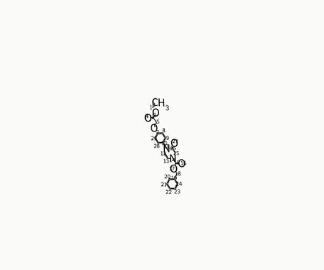 CCOC(=O)COc1ccc(N2C=CN(C(=O)OCc3ccccc3)CC2=O)cc1